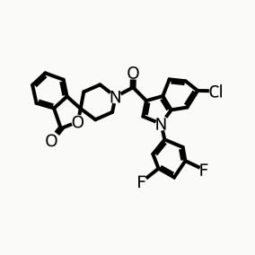 O=C1OC2(CCN(C(=O)c3cn(-c4cc(F)cc(F)c4)c4cc(Cl)ccc34)CC2)c2ccccc21